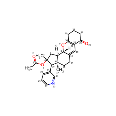 CC(=O)OC1(C)C[C@H]2[C@@H]3OC4=C(C=C3CC[C@]2(C)[C@H]1c1cccnc1)C(=O)CCC4